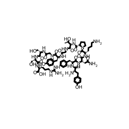 C[C@@H](O)[C@H](NC(=O)[C@@H]1CCCN1C(=O)[C@H](CCCCN)NC(=O)[C@H](CC(N)=O)NC(=O)[C@H](Cc1ccccc1)NC(=O)[C@@H](N)Cc1ccc(O)cc1)C(=O)NCC(=O)N[C@@H](Cc1ccc(O)cc1)C(=O)NCC(=O)N[C@@H](CO)C(=O)N[C@@H](CO)C(=O)N[C@@H](CCCNC(=N)N)C(=O)O